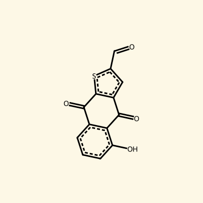 O=Cc1cc2c(s1)C(=O)c1cccc(O)c1C2=O